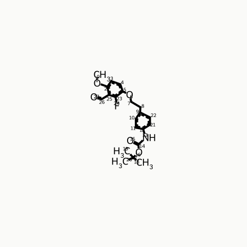 COc1ccc(OCCc2ccc(NC(=O)OC(C)(C)C)cc2)c(F)c1C=O